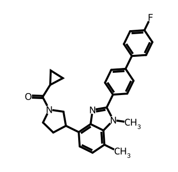 Cc1ccc(C2CCN(C(=O)C3CC3)C2)c2nc(-c3ccc(-c4ccc(F)cc4)cc3)n(C)c12